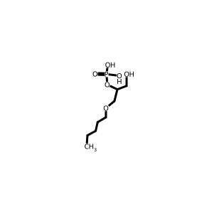 CCCCCOCC(CO)OP(=O)(O)O